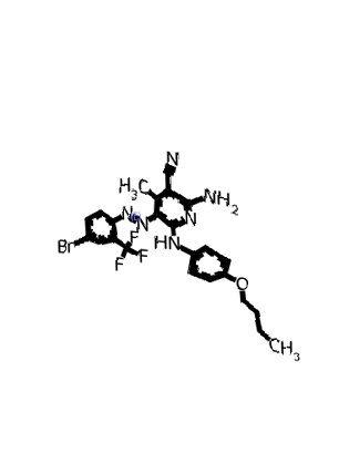 CCCCOc1ccc(Nc2nc(N)c(C#N)c(C)c2/N=N/c2ccc(Br)cc2C(F)(F)F)cc1